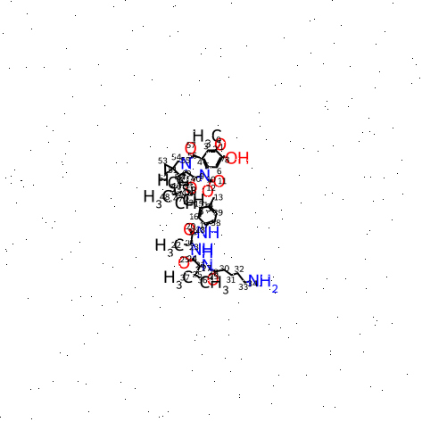 COc1cc2c(cc1O)N(C(=O)OCc1ccc(NC(=O)[C@H](C)NC(=O)[C@@H](NC(=O)CCCCN)C(C)C)cc1)C(O[Si](C)(C)C(C)(C)C)C1CC3(CC3)CN1C2=O